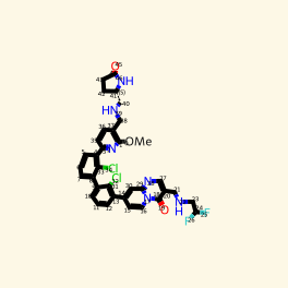 COc1nc(-c2cccc(-c3cccc(-c4ccn5c(=O)c(CNCC(F)F)cnc5c4)c3Cl)c2Cl)ccc1CNC[C@@H]1CCC(=O)N1